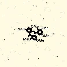 COc1cc(OC)c2c(c1)C(C)c1c(OC)cc(OC)cc1C(c1cc(OC)cc(OC)c1C)C2